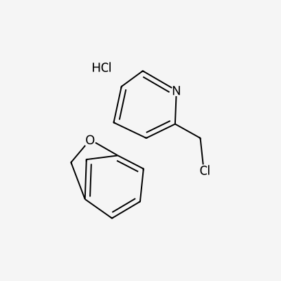 Cl.ClCc1ccccn1.c1cc2cc(c1)OC2